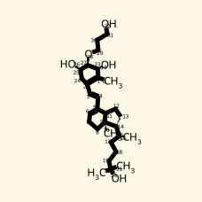 CC1=C(/C=C/C2=CCC[C@@]3(C)C2CC[C@@H]3[C@H](C)CCCC(C)(C)O)C[C@@H](O)[C@@H](OCCCO)[C@@H]1O